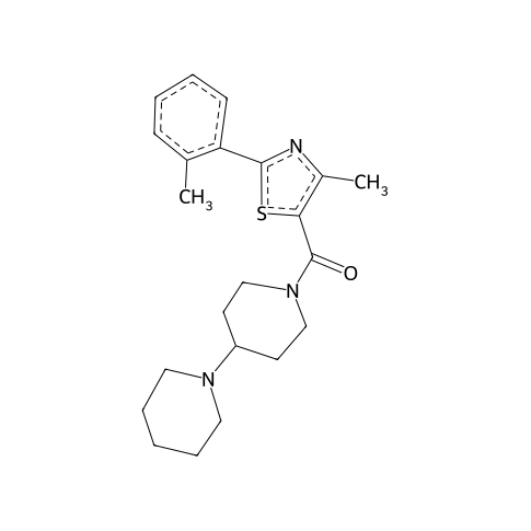 Cc1ccccc1-c1nc(C)c(C(=O)N2CCC(N3CCCCC3)CC2)s1